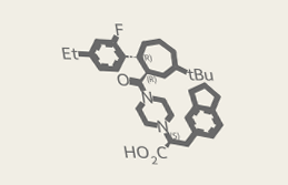 CCc1ccc([C@@H]2CCCC(C(C)(C)C)C[C@H]2C(=O)N2CCN([C@@H](Cc3ccc4c(c3)CCC4)C(=O)O)CC2)c(F)c1